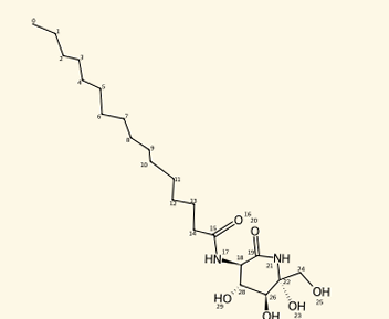 CCCCCCCCCCCCCCCC(=O)N[C@H]1C(=O)N[C@@](O)(CO)[C@@H](O)[C@@H]1O